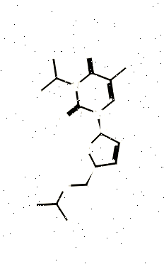 Cc1cn([C@H]2C=C[C@@H](COC(C)C)O2)c(=O)n(C(C)C)c1=O